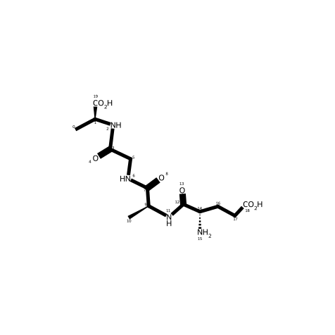 C[C@H](NC(=O)CNC(=O)[C@H](C)NC(=O)[C@@H](N)CCC(=O)O)C(=O)O